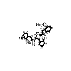 COc1cccc2[nH]c(C(=O)N3CC4CCCC4C3C(=O)NC(C#N)CC3CCCNC3=O)cc12